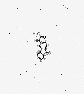 CC(=O)Nc1ccc2c(c1)-c1ccccc1C2=O